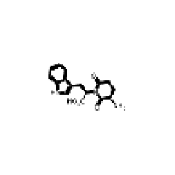 N[C@@H]1CCC(=O)N([C@H](Cc2c[nH]c3ccccc23)C(=O)O)C1=O